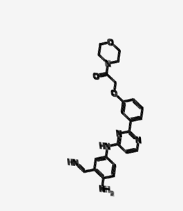 N=Cc1cc(Nc2ccnc(-c3cccc(OCC(=O)N4CCOCC4)c3)n2)ccc1N